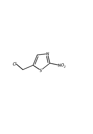 O=[N+]([O-])c1ncc(CCl)s1